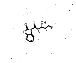 C[C@@H](C(=O)n1c(=O)oc2ccccc21)[C@@H](O)CCF